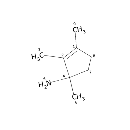 CC1=C(C)C(C)(N)CC1